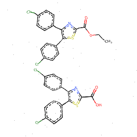 CCOC(=O)c1nc(-c2ccc(Cl)cc2)c(-c2ccc(Cl)cc2)s1.O=C(O)c1nc(-c2ccc(Cl)cc2)c(-c2ccc(Cl)cc2)s1